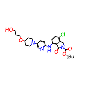 CC(C)(C)OC(=O)N1Cc2c(Cl)ccc(Nc3ccc(N4CCC(OCCCO)CC4)cn3)c2C1=O